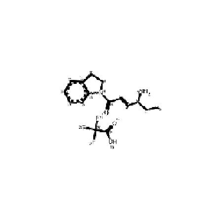 CCC(N)C=CC(=O)N1CCc2ccccc21.O=C(O)C(F)(F)F